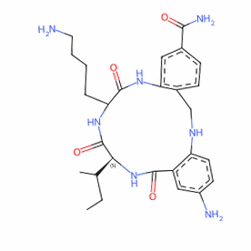 CCC(C)[C@@H]1NC(=O)c2cc(N)ccc2NCc2ccc(C(N)=O)cc2NC(=O)C(CCCCN)NC1=O